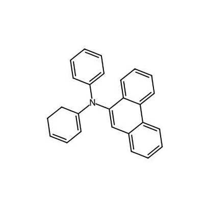 C1=CCCC(N(c2ccccc2)c2cc3ccccc3c3ccccc23)=C1